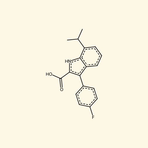 CC(C)c1cccc2c(-c3ccc(F)cc3)c(C(=O)O)[nH]c12